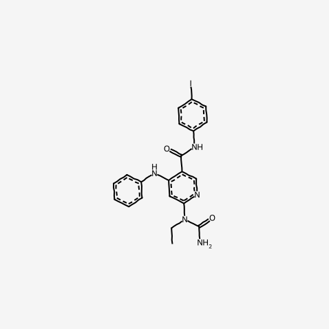 CCN(C(N)=O)c1cc(Nc2ccccc2)c(C(=O)Nc2ccc(I)cc2)cn1